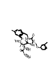 Cc1cccc(OC[C@H](NC(=O)[C@@H](NC(=O)C(C)(C)C)[C@@H](C)O)C(=O)NCc2ccc(C)cc2F)c1